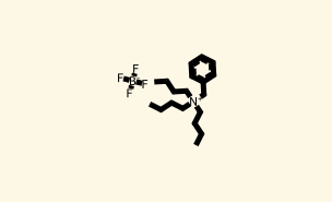 CCCC[N+](CCCC)(CCCC)Cc1ccccc1.F[B-](F)(F)F